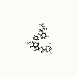 CCCCOc1c(-c2ncc(Cc3ccc(F)cc3C(=O)NC3CC3)s2)nc2n(CC(=O)N3C[C@H](C)O[C@@H](C)C3)ccn2c1=O